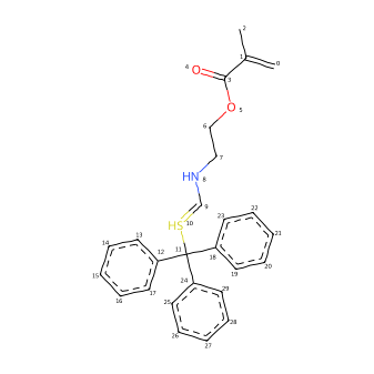 C=C(C)C(=O)OCCNC=[SH]C(c1ccccc1)(c1ccccc1)c1ccccc1